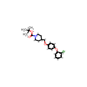 CC(C)(C)OC(=O)N1CCC(COc2ccc(Oc3ccccc3Br)cc2)CC1